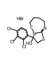 Br.OC1(c2ccc(Cl)c(Cl)c2Cl)CSC2=NCCCCCN21